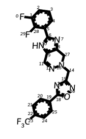 Fc1cccc(-c2nc3c([nH]2)C=NN(Cc2noc(-c4ccc(C(F)(F)F)cc4)n2)C3)c1F